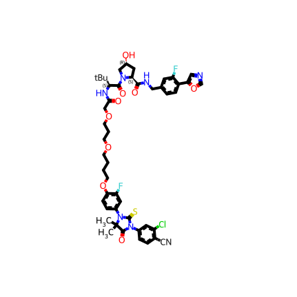 CC(C)(C)[C@H](NC(=O)COCCCOCCCCOc1ccc(N2C(=S)N(c3ccc(C#N)c(Cl)c3)C(=O)C2(C)C)cc1F)C(=O)N1C[C@H](O)C[C@H]1C(=O)NCc1ccc(-c2cnco2)c(F)c1